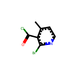 Cc1ccnc(Br)c1C(=O)Cl